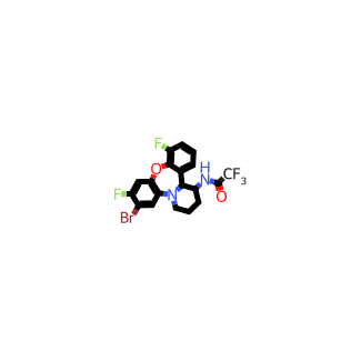 O=C(NC1CCCN2c3cc(Br)c(F)cc3Oc3c(F)cccc3C12)C(F)(F)F